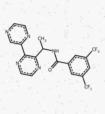 CC(NC(=O)c1cc(C(F)(F)F)cc(C(F)(F)F)c1)c1nccnc1-c1cnccn1